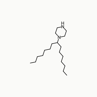 CCCCCCCC(CCCCCCC)N1CCNCC1